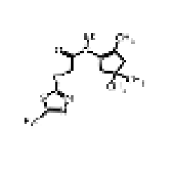 CCN(C(=O)COc1nnc(C(F)(F)F)s1)C1=C(C)CC(C)(C)C1